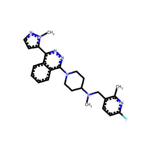 Cc1nc(F)ccc1CN(C)C1CCN(c2nnc(-c3ccnn3C)c3ccccc23)CC1